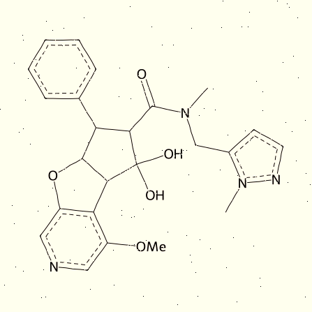 COc1cncc2c1C1C(O2)C(c2ccccc2)C(C(=O)N(C)Cc2ccnn2C)C1(O)O